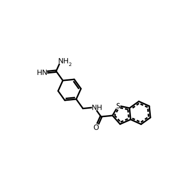 N=C(N)C1C=CC(CNC(=O)c2cc3ccccc3s2)=CC1